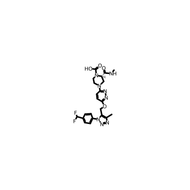 CNC(=O)[C@@H]1CN(c2ccc(OCc3c(C)nnn3-c3ccc(C(F)F)cc3)nn2)CCN1C(=O)O